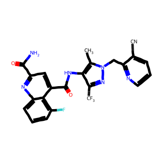 Cc1c(NC(=O)c2cc(C(N)=O)nc3cccc(F)c23)c(C(F)(F)F)nn1Cc1ncccc1C#N